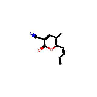 C=C/C=C\c1oc(=O)c(C#N)cc1C